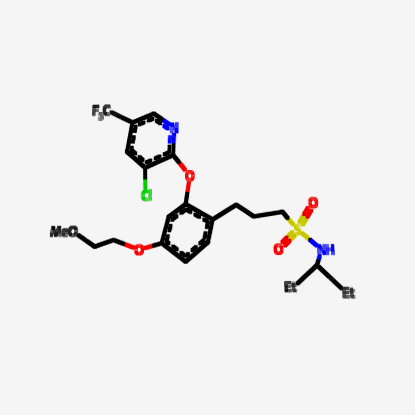 CCC(CC)NS(=O)(=O)CCCc1ccc(OCCOC)cc1Oc1ncc(C(F)(F)F)cc1Cl